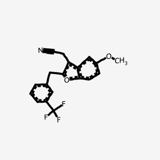 COc1ccc2oc(Cc3cccc(C(F)(F)F)c3)c(CC#N)c2c1